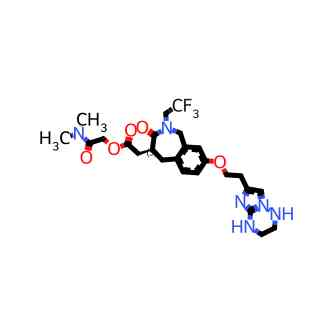 CN(C)C(=O)COC(=O)C[C@@H]1Cc2ccc(OCCc3cn4c(n3)NCCN4)cc2CN(CC(F)(F)F)C1=O